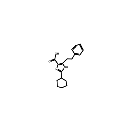 O=C(O)c1nc(C2CCCCC2)[nH]c1CCc1ccccc1